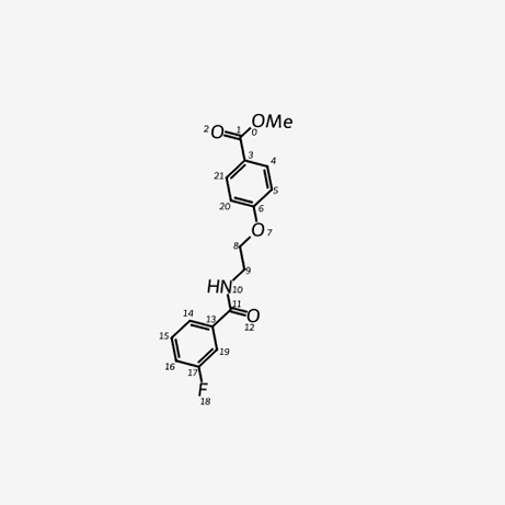 COC(=O)c1ccc(OCCNC(=O)c2cccc(F)c2)cc1